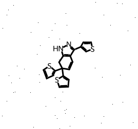 C1=CC(c2cccs2)(c2cccs2)Cc2[nH]nc(-c3ccsc3)c21